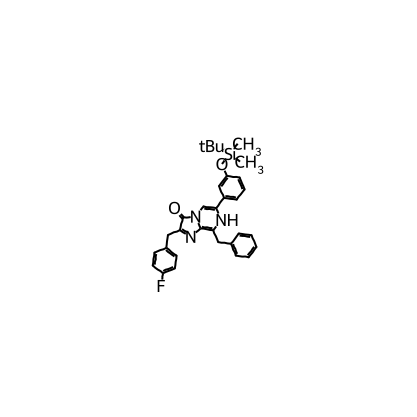 CC(C)(C)[Si](C)(C)Oc1cccc(-c2cn3c(=O)c(Cc4ccc(F)cc4)nc-3c(Cc3ccccc3)[nH]2)c1